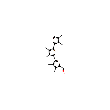 Cc1csc(-c2sc(-c3sc(C=O)c(C)c3C)c(C)c2C)c1C